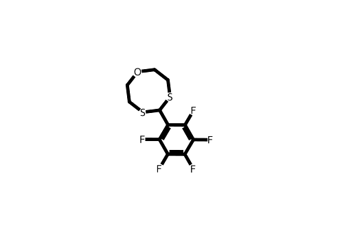 Fc1c(F)c(F)c(C2SCCOCCS2)c(F)c1F